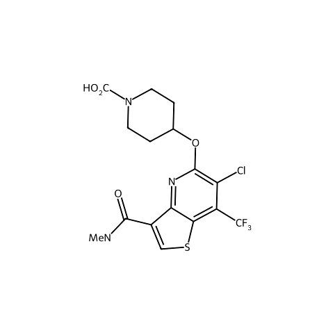 CNC(=O)c1csc2c(C(F)(F)F)c(Cl)c(OC3CCN(C(=O)O)CC3)nc12